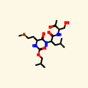 CSCCC(NC(=O)OCC(C)C)C(=O)NC(CC(C)C)C(=O)NC(CO)C(C)=O